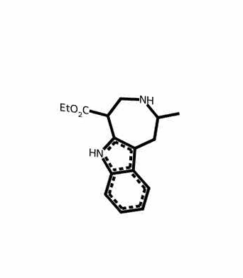 CCOC(=O)C1CNC(C)Cc2c1[nH]c1ccccc21